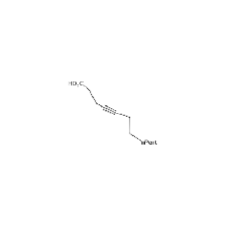 CCCCCCCC#CCCC(=O)O